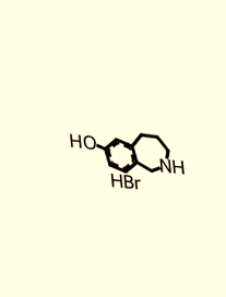 Br.Oc1ccc2c(c1)CCCNC2